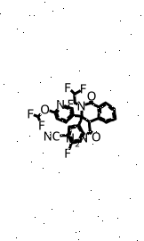 N#Cc1cc(C2(c3ccc(OC(F)F)nc3)C(C(N)=O)c3ccccc3C(=O)N2C(F)C(F)F)ccc1F